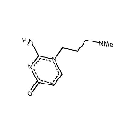 CNCCCn1ccc(=O)nc1N